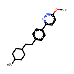 CCCCC1CCC(CCc2ccc(-c3ccc(OCCC)nn3)cc2)CC1